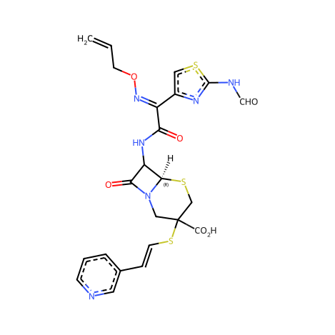 C=CCON=C(C(=O)NC1C(=O)N2CC(SC=Cc3cccnc3)(C(=O)O)CS[C@H]12)c1csc(NC=O)n1